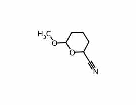 COC1CCCC(C#N)O1